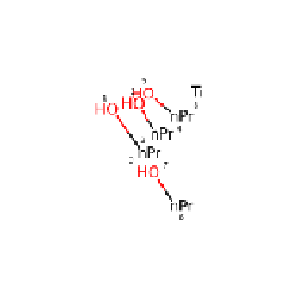 CCCO.CCCO.CCCO.CCCO.[Ti]